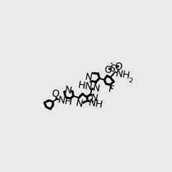 CS(=O)(=O)C(N)c1cc(F)cc(-c2ccnc3[nH]c(-c4n[nH]c5cnc(-c6cncc(NC(=O)c7ccccc7)c6)cc45)nc23)c1